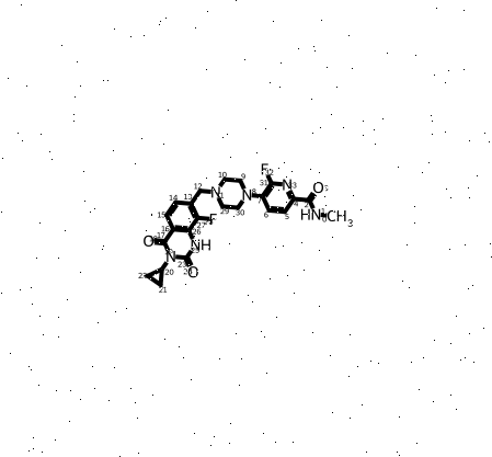 CNC(=O)c1ccc(N2CCN(Cc3ccc4c(=O)n(C5CC5)c(=O)[nH]c4c3F)CC2)c(F)n1